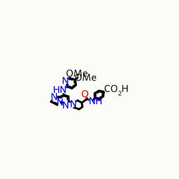 COc1ccc(Nc2cc(N3CCCC(C(=O)Nc4ccc(C(=O)O)cc4)C3)nn3ccnc23)nc1OC